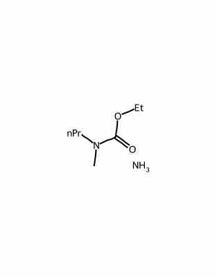 CCCN(C)C(=O)OCC.N